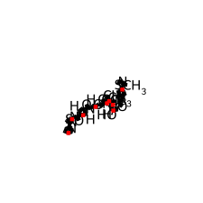 Cc1ncsc1-c1ccc(CNC(=O)[C@@H]2C[C@@H](O)CN2C(=O)[C@@H](NC(=O)COCCNC(=O)c2ccc(C(=O)Nc3nc(-c4ccccn4)cs3)cc2)C(C)(C)C)cc1